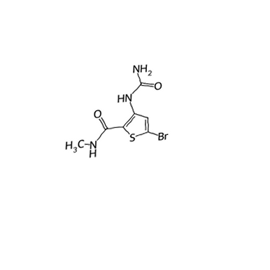 CNC(=O)c1sc(Br)cc1NC(N)=O